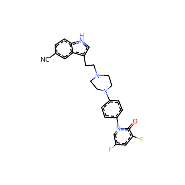 N#Cc1ccc2[nH]cc(CCN3CCN(c4ccc(-n5cc(F)cc(F)c5=O)cc4)CC3)c2c1